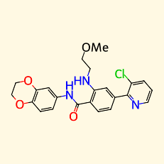 COCCNc1cc(-c2ncccc2Cl)ccc1C(=O)Nc1ccc2c(c1)OCCO2